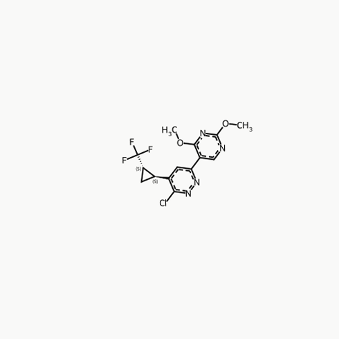 COc1ncc(-c2cc([C@H]3C[C@@H]3C(F)(F)F)c(Cl)nn2)c(OC)n1